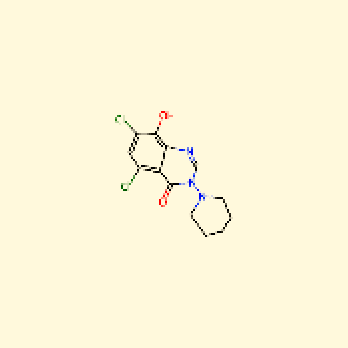 O=c1c2c(Cl)cc(Cl)c(O)c2ncn1N1CCCCC1